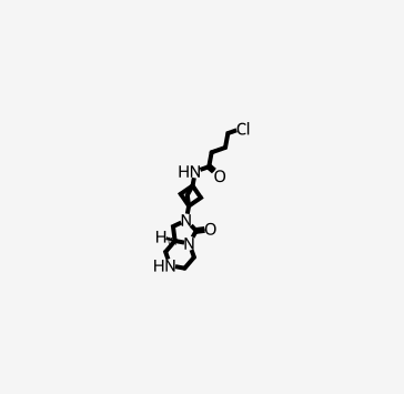 O=C(CCCCl)NC12CC(N3C[C@H]4CNCCN4C3=O)(C1)C2